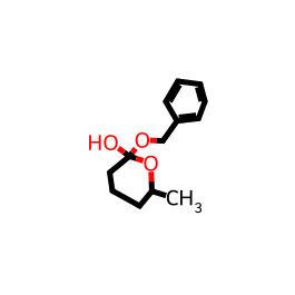 CC1CCCC(O)(OCc2ccccc2)O1